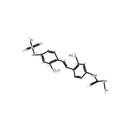 CC(C)NC(=S)Nc1ccc(C=Cc2ccc(NS(=O)(=O)C(C)C)cc2S(=O)(=O)O)c(S(=O)(=O)O)c1